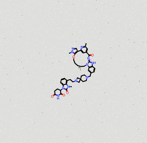 Cc1cc2cc(n1)-c1cnn(C)c1OCCC[C@@H](C)CN1/C(=N/C2=O)Nc2ccc(CN3CCC4(CC3)CN(CCc3cccc5c3n(C)c(=O)n5C3CCC(=O)NC3=O)C4)cc21